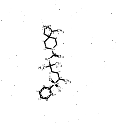 CCC1(C(C)C)CCN(C(=O)OC(C)(C)CCC(C)S(=O)(=O)c2ccccn2)CC1